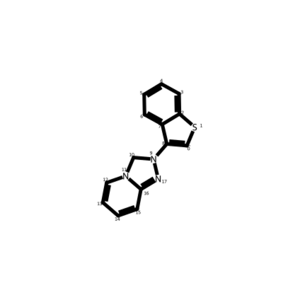 [c]1sc2ccccc2c1N1CN2C=CC=CC2=N1